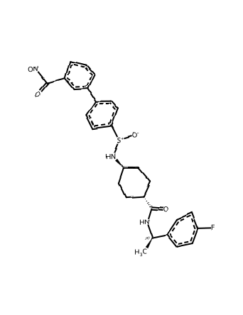 C[C@@H](NC(=O)[C@H]1CC[C@H](N[S+]([O-])c2ccc(-c3cccc(C(=O)N=O)c3)cc2)CC1)c1ccc(F)cc1